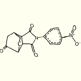 O=C1CC2CCC1C1C(=O)N(c3ccc([N+](=O)[O-])cc3)C(=O)C21